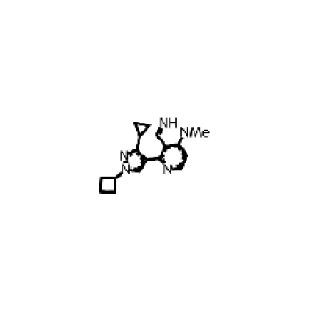 CNc1ccnc(-c2cn(C3CCC3)nc2C2CC2)c1C=N